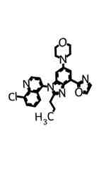 CCCc1nc2c(-c3ncco3)cc(N3CCOCC3)cc2n1-c1ccnc2c(Cl)cccc12